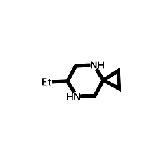 CCC1CNC2(CC2)CN1